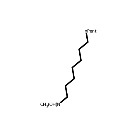 CCCCCCCCCCCCN(C)O